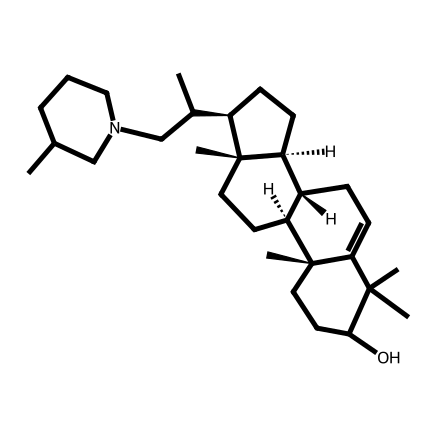 CC1CCCN(CC(C)[C@H]2CC[C@H]3[C@@H]4CC=C5C(C)(C)C(O)CC[C@]5(C)[C@H]4CC[C@]23C)C1